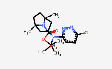 CN(c1ccc(Cl)nn1)[C@H]1C[C@]2(C)CC[C@](C)(C1)N2C(=O)OC(C)(C)C